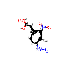 Nc1ccc(CC(=O)O)c([N+](=O)[O-])c1